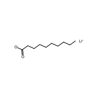 CCCCCCCCCC(=O)[O-].[Li+]